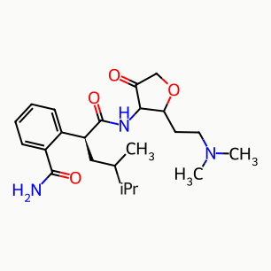 CC(C)C(C)C[C@H](C(=O)NC1C(=O)COC1CCN(C)C)c1ccccc1C(N)=O